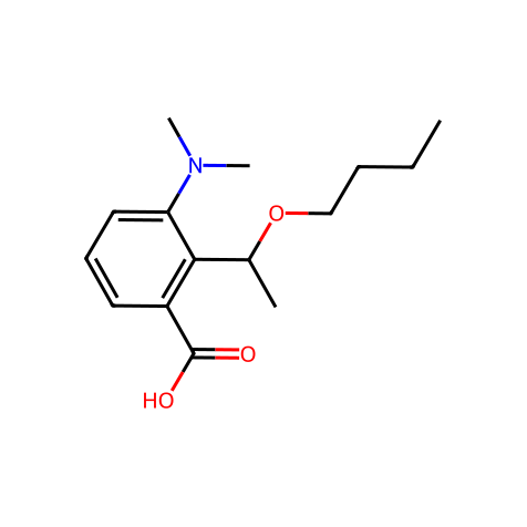 CCCCOC(C)c1c(C(=O)O)cccc1N(C)C